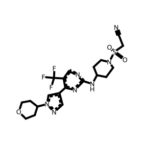 N#CCS(=O)(=O)N1CCC(Nc2ncc(C(F)(F)F)c(-c3cnn(C4CCOCC4)c3)n2)CC1